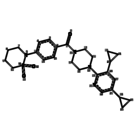 O=C(c1ccc(N2CCCCS2(=O)=O)cc1)N1CCN(c2ncc(C3CC3)cc2C2CC2)CC1